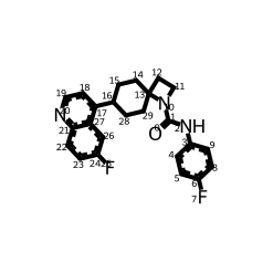 O=C(Nc1ccc(F)cc1)N1CCC12CCC(c1ccnc3ccc(F)cc13)CC2